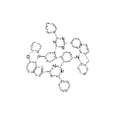 c1ccc(-c2nc(-c3ccccc3)nc(-c3cc(N4c5ccccc5Cc5ccccc54)ccc3-c3ccc(N4c5ccccc5Oc5ccccc54)cc3-c3nc(-c4ccccc4)nc(-c4ccccc4)n3)n2)cc1